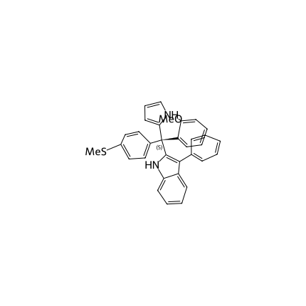 COc1ccccc1[C@@](c1ccc(SC)cc1)(c1ccc[nH]1)c1[nH]c2ccccc2c1-c1ccccc1